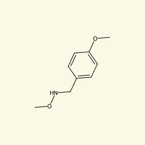 CONCc1ccc(OC)cc1